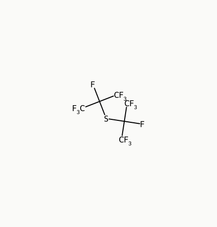 FC(F)(F)C(F)(SC(F)(C(F)(F)F)C(F)(F)F)C(F)(F)F